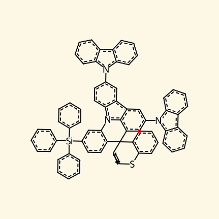 c1ccc([Si](c2ccccc2)(c2ccccc2)c2ccc3c(c2)-n2c4ccc(-n5c6ccccc6c6ccccc65)cc4c4cc(-n5c6ccccc6c6ccccc65)cc(c42)C32c3ccccc3Sc3ccccc32)cc1